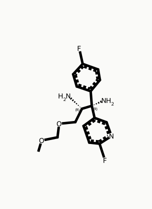 COCOC[C@H](N)[C@@](N)(c1ccc(F)cc1)c1ccc(F)nc1